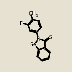 Cc1ccc(-n2[se]c3ccccc3c2=S)cc1F